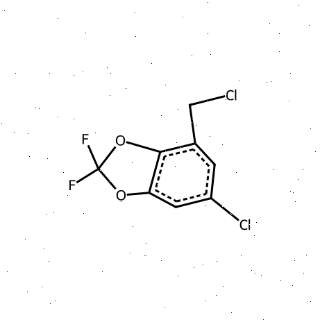 FC1(F)Oc2cc(Cl)cc(CCl)c2O1